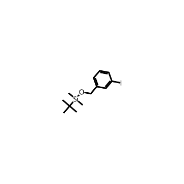 CC(C)(C)[Si](C)(C)OCc1cccc(I)c1